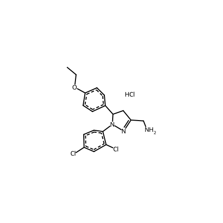 CCOc1ccc(C2CC(CN)=NN2c2ccc(Cl)cc2Cl)cc1.Cl